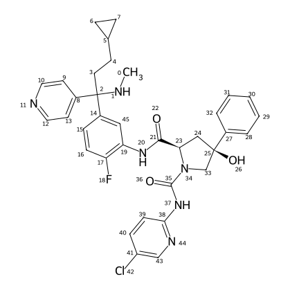 CNC(CCC1CC1)(c1ccncc1)c1ccc(F)c(NC(=O)[C@H]2C[C@](O)(c3ccccc3)CN2C(=O)Nc2ccc(Cl)cn2)c1